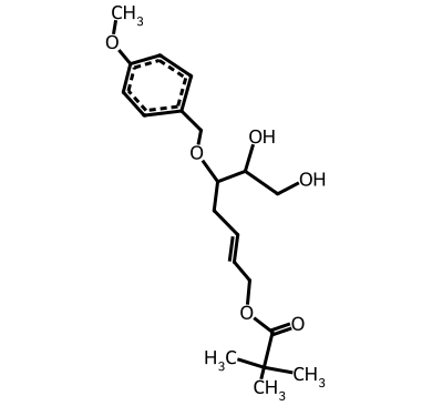 COc1ccc(COC(C/C=C/COC(=O)C(C)(C)C)C(O)CO)cc1